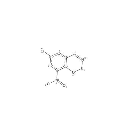 O=[N+]([O-])c1cc(Cl)cc2c1OSN=C2